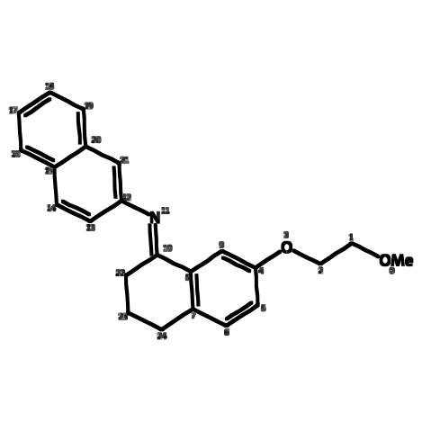 COCCOc1ccc2c(c1)/C(=N/c1ccc3ccccc3c1)CCC2